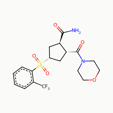 NC(=O)[C@@H]1C[C@@H](S(=O)(=O)c2ccccc2C(F)(F)F)C[C@H]1C(=O)N1CCOCC1